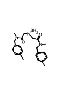 BN(CC(=O)N(C)Cc1ccc(C)cc1)CC(=O)N(C)Cc1ccc(C)cc1